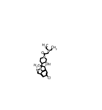 CCN(CC)CC(=O)N1CCC(C2(C)[C@H](O)c3cc(Cl)cc4cnn2c34)CC1